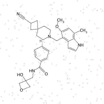 COc1cc(C)c2[nH]ccc2c1CN1CCC2(CC(C#N)C2)C[C@H]1c1ccc(C(=O)NCC2(O)COC2)cc1